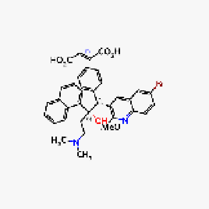 COc1nc2ccc(Br)cc2cc1[C@@H](c1ccccc1)[C@@](O)(CCN(C)C)c1cccc2ccccc12.O=C(O)/C=C/C(=O)O